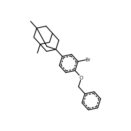 CC12CC3CC(C)(C1)CC(c1ccc(OCc4ccccc4)c(Br)c1)(C3)C2